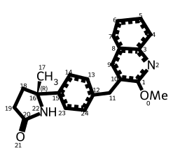 COc1nc2ccccc2cc1Cc1ccc([C@@]2(C)CCC(=O)N2)cc1